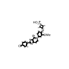 COc1cc(-n2ccc3nc(-c4ccc(Cl)cc4)sc3c2=O)ccc1OC1CN(C(=O)O)C1